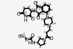 CC(C)(C)OC(=O)N[C@H]1CCN(C(=O)CCN2CCN(c3cccc4c3C(=O)N(C3CCC(=O)NC3=O)C4=O)CC2)C1